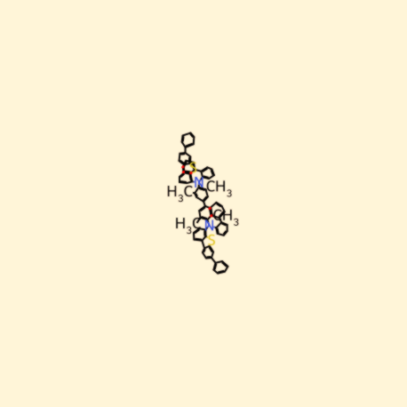 Cc1cc(-c2cc(C)c(N(c3ccccc3-c3ccccc3)c3cccc4c3sc3cc(-c5ccccc5)ccc34)c(C)c2)cc(C)c1N(c1ccccc1-c1ccccc1)c1cccc2c1sc1cc(-c3ccccc3)ccc12